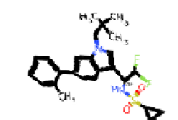 Cc1ccccc1-c1ccc2c([C@H](NS(=O)(=O)C3CC3)C(F)F)cn(CC(C)(C)C)c2c1